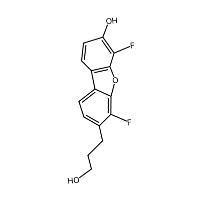 OCCCc1ccc2c(oc3c(F)c(O)ccc32)c1F